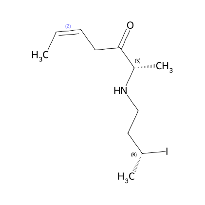 C/C=C\CC(=O)[C@H](C)NCC[C@@H](C)I